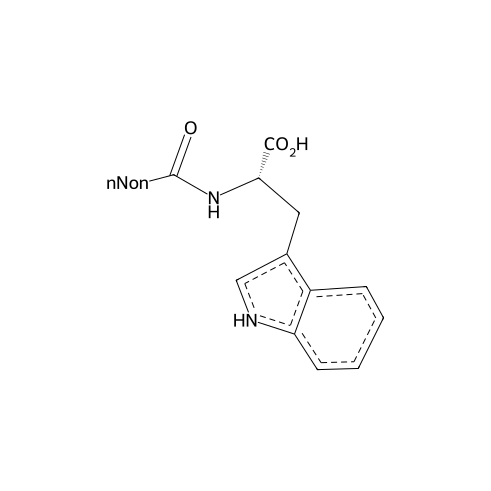 CCCCCCCCCC(=O)N[C@@H](Cc1c[nH]c2ccccc12)C(=O)O